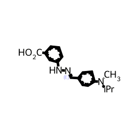 CC(C)N(C)c1ccc(/C=N/Nc2cccc(C(=O)O)c2)cc1